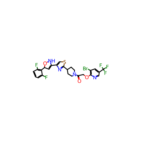 O=C(COc1ncc(C(F)(F)F)cc1Br)N1CCC(c2nc(C3=CC(c4c(F)cccc4F)ON3)cs2)CC1